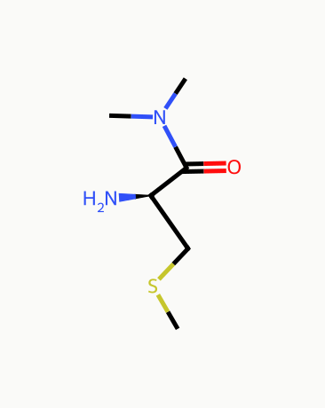 CSC[C@@H](N)C(=O)N(C)C